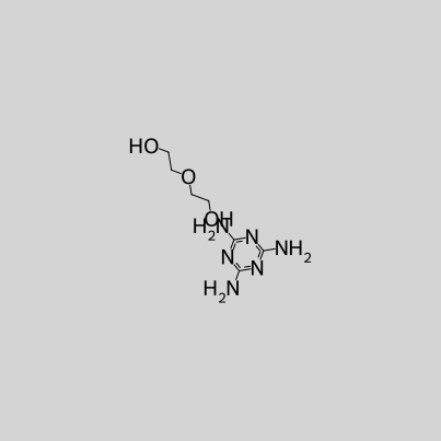 Nc1nc(N)nc(N)n1.OCCOCCO